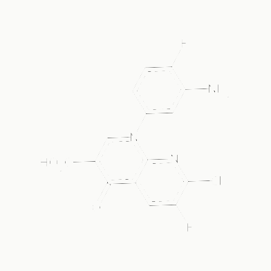 Nc1cc(-n2cc(C(=O)O)c(=O)c3cc(F)c(Cl)nc32)ccc1F